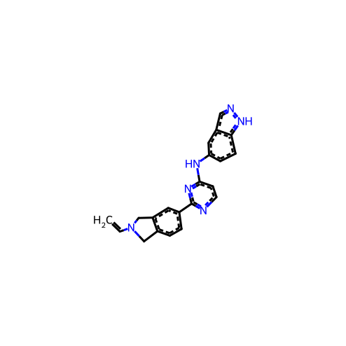 C=CN1Cc2ccc(-c3nccc(Nc4ccc5[nH]ncc5c4)n3)cc2C1